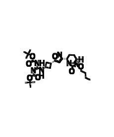 CCCCON1C(=O)N2C[C@@H]1CC[C@H]2c1cc([C@H]2C[C@@H](N/C(=N\C(=O)OC(C)(C)C)NC(=O)OC(C)(C)C)C2)on1